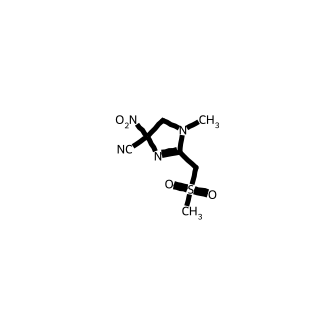 CN1CC(C#N)([N+](=O)[O-])N=C1CS(C)(=O)=O